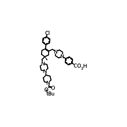 CC(C)(C)OC(=O)N1CCC(N2CCN(C[C@]3(C)CCC(c4ccc(Cl)cc4)=C(CN4CCN(c5ccc(C(=O)O)cc5)CC4)C3)CC2)CC1